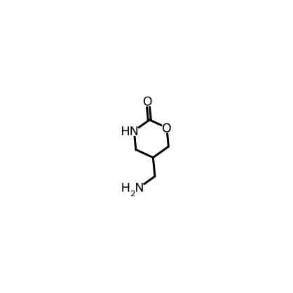 NCC1CNC(=O)OC1